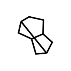 C1CC2CC3CC2CC13